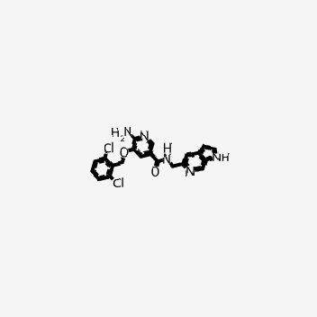 Nc1ncc(C(=O)NCc2cc3cc[nH]c3cn2)cc1OCc1c(Cl)cccc1Cl